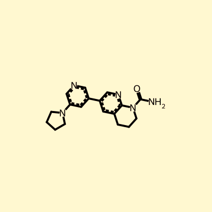 NC(=O)N1CCCc2cc(-c3cncc(N4CCCC4)c3)cnc21